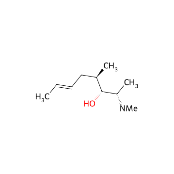 C/C=C/C[C@@H](C)[C@@H](O)[C@H](C)NC